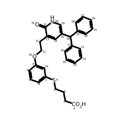 O=C(O)CCCSc1cccc(OCCc2cc(C(c3ccccc3)c3ccccc3)c[nH]c2=O)c1